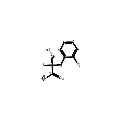 CC(O)(Cc1ccccc1Cl)C(N)=O.Cl